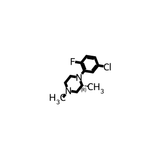 C[C@@H]1CN(C)CCN1c1cc(Cl)ccc1F